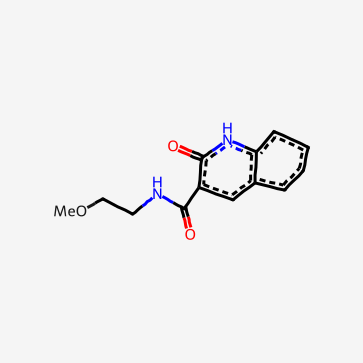 COCCNC(=O)c1cc2ccccc2[nH]c1=O